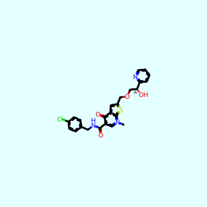 Cn1cc(C(=O)NCc2ccc(Cl)cc2)c(=O)c2cc(COC[C@H](O)c3ccccn3)sc21